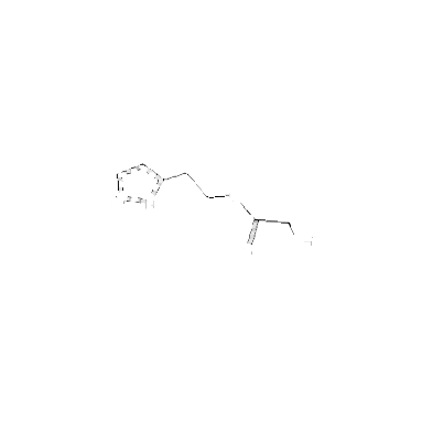 CCC(=O)OCCc1cc[nH]n1